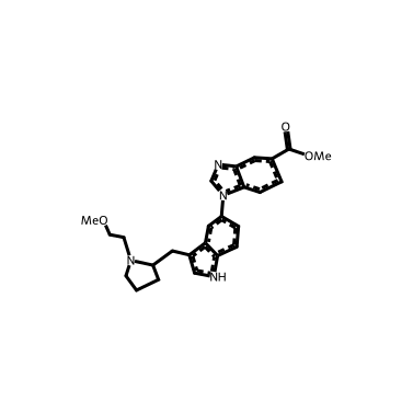 COCCN1CCCC1Cc1c[nH]c2ccc(-n3cnc4cc(C(=O)OC)ccc43)cc12